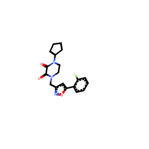 O=C1C(=O)N(C2CCCC2)CCN1Cc1cc(-c2ccccc2F)on1